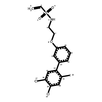 C=CS(=O)(=O)NCCOc1cccc(-c2cc(Cl)c(Cl)cc2I)c1